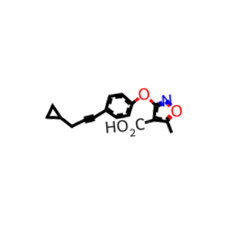 Cc1onc(Oc2ccc(C#CCC3CC3)cc2)c1C(=O)O